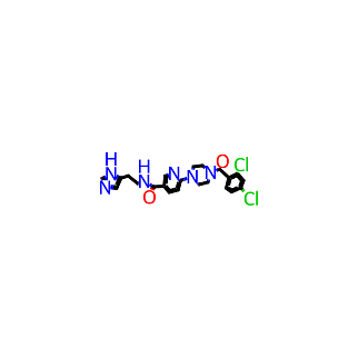 O=C(NCCc1cnc[nH]1)c1ccc(N2CCN(C(=O)c3ccc(Cl)cc3Cl)CC2)nc1